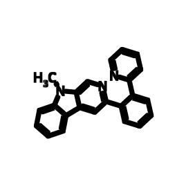 Cn1c2ccccc2c2cc(-c3ccccc3-c3ccccn3)ncc21